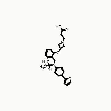 [2H]C(C)(C)N(Cc1ccccc1OC1CN(CCC(=O)O)C1)c1ccc(-c2ccco2)cc1